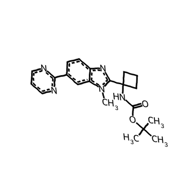 Cn1c(C2(NC(=O)OC(C)(C)C)CCC2)nc2ccc(-c3ncccn3)cc21